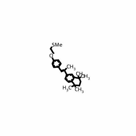 CSCCOc1ccc(C=C(C)c2ccc3c(c2)C(C)(C)CCC3(C)C)cc1